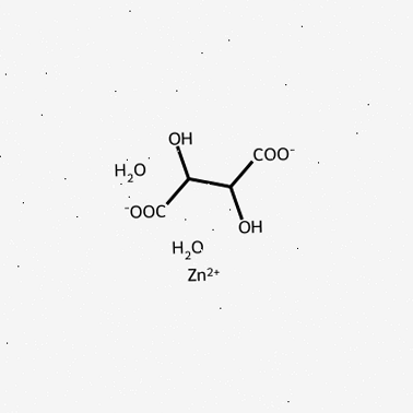 O.O.O=C([O-])C(O)C(O)C(=O)[O-].[Zn+2]